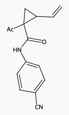 C=CC1CC1(C(C)=O)C(=O)Nc1ccc(C#N)cc1